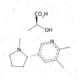 C[C@H](O)C(=O)O.Cc1cc([C@@H]2CCCN2C)cnc1C